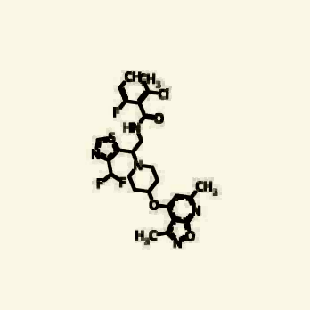 C/C=C(F)\C(C(=O)NCC(c1scnc1C(F)F)N1CCC(Oc2cc(C)nc3onc(C)c23)CC1)=C(/C)Cl